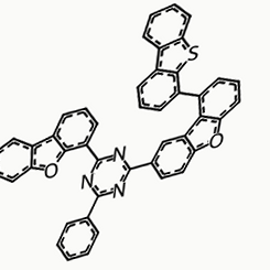 c1ccc(-c2nc(-c3ccc4oc5cccc(-c6cccc7c6sc6ccccc67)c5c4c3)nc(-c3cccc4c3oc3ccccc34)n2)cc1